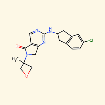 CC1(N2Cc3nc(NC4Cc5ccc(Cl)cc5C4)ncc3C2=O)COC1